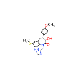 COc1ccc([C@H]2Cc3cc(SC)ccc3N(CC3=NCCN3)C(=O)[C@H]2O)cc1